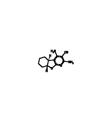 N#Cc1c(N)nc2c(c1N)[C@@H]1CCCC[C@H]1O2